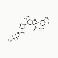 CNC(=O)c1c(-c2ccc(F)c(C)c2)oc2c1cc(-c1cccc(C(=O)NCC(F)(F)C(F)(F)C(F)(F)F)c1)c1[nH]ccc12